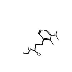 CCOC(=O)CCc1cccc(N(C)C)c1C